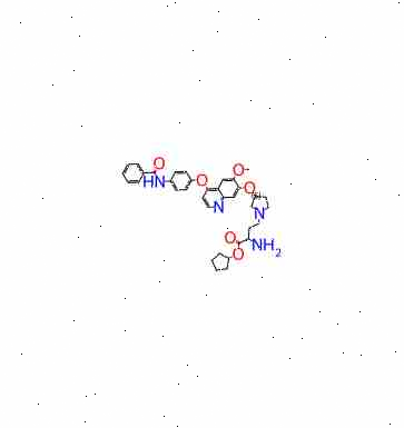 COc1cc2c(Oc3ccc(NC(=O)c4ccccc4)cc3)ccnc2cc1O[C@H]1CCN(CCC(N)C(=O)OC2CCCC2)C1